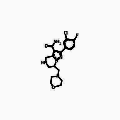 NC(=O)c1c(-c2ccc(F)c(Cl)c2)nn2c1CNCC2CN1CCOCC1